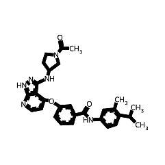 CC(=O)N1CCC(Nc2n[nH]c3nccc(Oc4cccc(C(=O)Nc5ccc(C(C)C)c(C)c5)c4)c23)C1